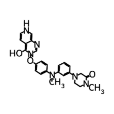 CN1CCN(c2cccc(N(C)c3ccc(ON4C=NC5=CNC=CC5=C4O)cc3)c2)CC1=O